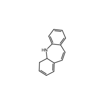 C1=CCC2Nc3ccccc3C=CC2=C1